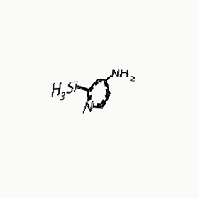 Nc1ccnc([SiH3])c1